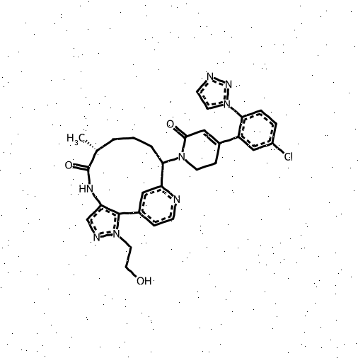 C[C@@H]1CCCC(N2CCC(c3cc(Cl)ccc3-n3ccnn3)=CC2=O)c2cc(ccn2)-c2c(cnn2CCO)NC1=O